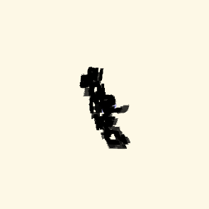 C/C(=N\OC1N=CC([N+](=O)O)=CN1)c1sc(-c2cccnc2)nc1C